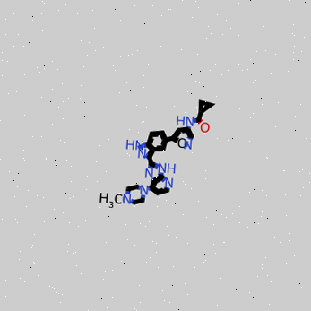 CN1CCN(c2ccnc3[nH]c(-c4n[nH]c5ccc(-c6cncc(NC(=O)C7CC7)c6)cc45)nc23)CC1